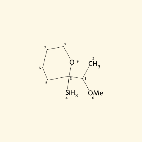 CO[C](C)C1([SiH3])CCCCO1